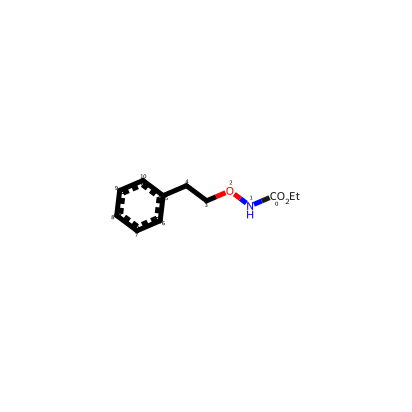 CCOC(=O)NOCCc1ccccc1